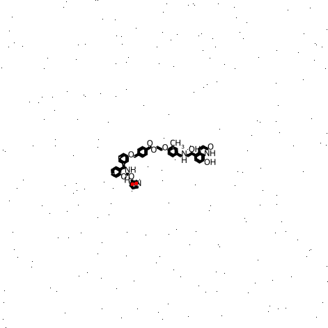 Cc1cc(CNC[C@@H](O)c2ccc(O)c3[nH]c(=O)ccc23)ccc1OCCOC(=O)c1ccc(COc2cccc(C(NC(=O)O[C@H]3CN4CCC3CC4)c3ccccc3)c2)cc1